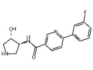 O=C(N[C@H]1CNC[C@@H]1O)c1ccc(-c2cccc(F)c2)nc1